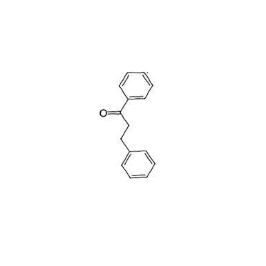 O=C(CCc1ccccc1)c1cc[c]cc1